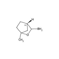 BC1OC2(C)CC[C@H]1C2